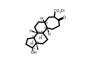 CCOC(=O)C1C[C@H]2CC[C@@H]3[C@H](CC[C@]4(C)[C@@H](O)CC[C@@H]34)[C@H]2CCC1=O